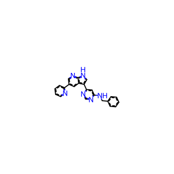 c1ccc(CNc2cc(-c3c[nH]c4ncc(-c5ccccn5)cc34)ncn2)cc1